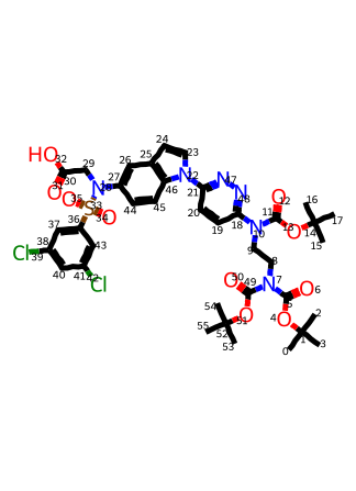 CC(C)(C)OC(=O)N(CCN(C(=O)OC(C)(C)C)c1ccc(-n2ccc3cc(N(CC(=O)O)S(=O)(=O)c4cc(Cl)cc(Cl)c4)ccc32)nn1)C(=O)OC(C)(C)C